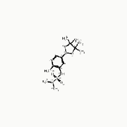 Cc1ncc(B2OC(C)(C)C(C)(C)O2)cc1NS(=O)(=O)N(C)C